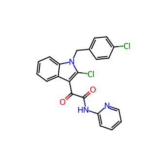 O=C(Nc1ccccn1)C(=O)c1c(Cl)n(Cc2ccc(Cl)cc2)c2ccccc12